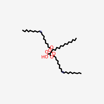 CCCCCCCC/C=C\CCCCCCCC(=O)OC(CCCCCCCCCCCCC)(OC(=O)CCCCCCC/C=C\CCCCCCCC)C(C)C(=O)O